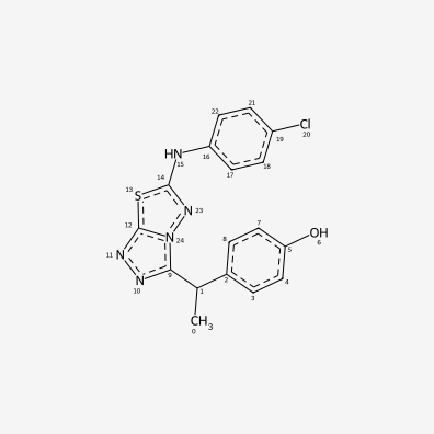 CC(c1ccc(O)cc1)c1nnc2sc(Nc3ccc(Cl)cc3)nn12